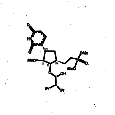 CO[C@@H]1[C@H](OP(O)N(C(C)C)C(C)C)[C@@H](CCP(=O)(OC)OC)C[C@H]1n1ccc(=O)[nH]c1=O